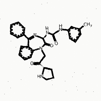 Cc1cccc(NC(=O)N[C@@H]2N=C(c3ccccc3)c3ccccc3N(CC(=O)[C@@H]3CCCN3)C2=O)c1